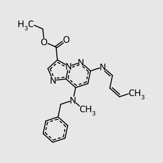 C/C=C\C=N/c1cc(N(C)Cc2ccccc2)c2ncc(C(=O)OCC)n2n1